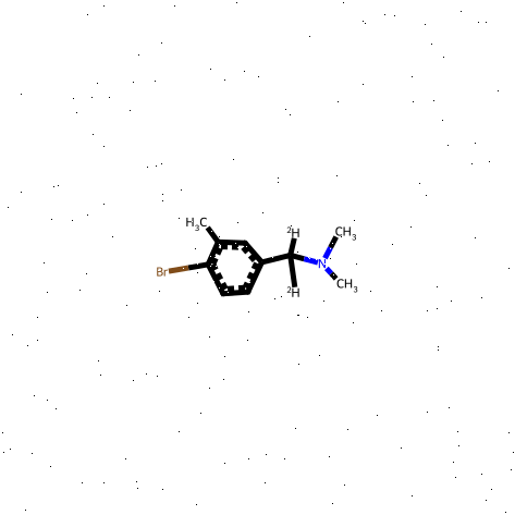 [2H]C([2H])(c1ccc(Br)c(C)c1)N(C)C